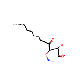 CCCCCCCCCCCCCCCC(=O)C(ON)C(O)CO